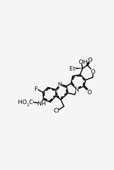 CC[C@@]1(O)C(=O)OCc2c1cc1n(c2=O)Cc2c-1nc1cc(F)c(NC(=O)O)cc1c2CCl